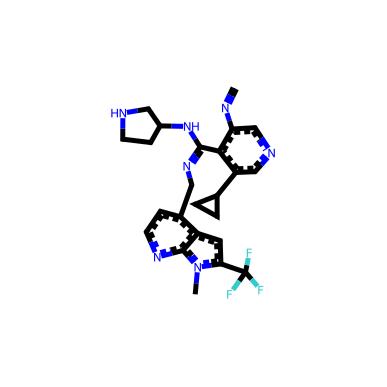 C=Nc1cncc(C2CC2)c1/C(=N\Cc1ccnc2c1cc(C(F)(F)F)n2C)NC1CCNC1